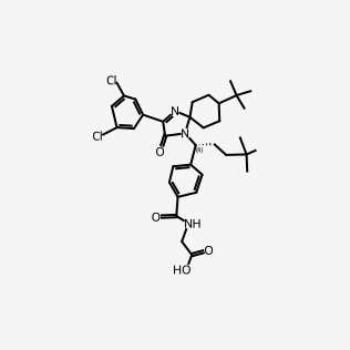 CC(C)(C)CC[C@H](c1ccc(C(=O)NCC(=O)O)cc1)N1C(=O)C(c2cc(Cl)cc(Cl)c2)=NC12CCC(C(C)(C)C)CC2